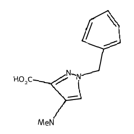 CNc1cn(Cc2ccccc2)nc1C(=O)O